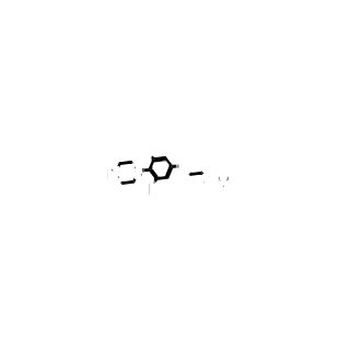 COCCOc1cc(F)c(N2CCNCC2)c(F)c1